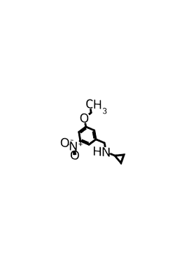 CCOc1cc(CNC2CC2)cc([N+](=O)[O-])c1